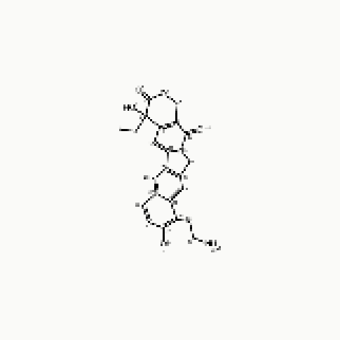 CCC1(O)C(=O)OCc2c1cc1n(c2=O)Cc2cc3c(CCN)c(O)ccc3nc2-1